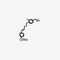 COc1ccc(/C=C/CCCc2ccc(CC(C)C)cc2C)cc1